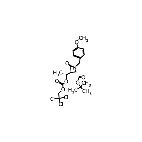 COc1ccc(CN2C(=O)[C@H]([C@@H](C)OC(=O)OCC(Cl)(Cl)Cl)[C@H]2C(=O)OC(C)(C)C)cc1